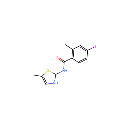 CC1=CNC(NC(=O)c2ccc(I)cc2C)S1